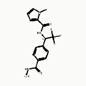 Cn1cccc1C(=O)N[C@H](c1ccc(C(=O)NO)cc1)C(F)(F)F